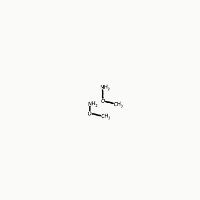 CON.CON